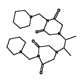 CC(C(C)N1CC(=O)N(CN2CCCCC2)C(=O)C1)N1CC(=O)N(CN2CCCCC2)C(=O)C1